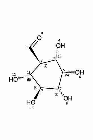 O=C[C@H]1[C@H](O)[C@H](O)[C@H](O)[C@@H](O)[C@@H]1O